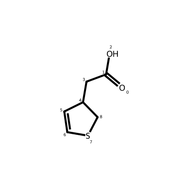 O=C(O)CC1C=CSC1